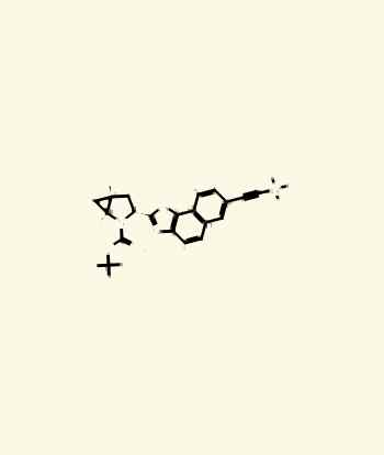 CC(C)(C)OC(=O)N1[C@@H]2C[C@@H]2C[C@H]1c1nc2ccc3cc(C#C[Si](C)(C)C)ccc3c2[nH]1